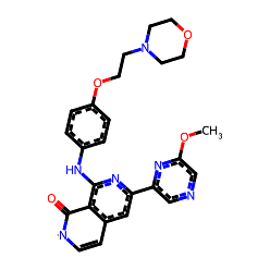 COc1cncc(-c2cc3c(c(Nc4ccc(OCCN5CCOCC5)cc4)n2)C(=O)[N]C=C3)n1